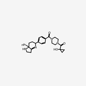 CCCC12CCC(c3ccc(C(=O)N4CCN(C(=O)C5(O)CC5)CC4)cc3)N=C1CCN2